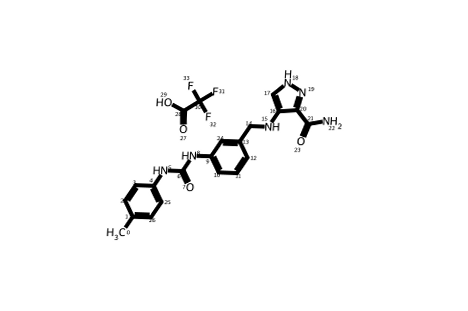 Cc1ccc(NC(=O)Nc2cccc(CNc3c[nH]nc3C(N)=O)c2)cc1.O=C(O)C(F)(F)F